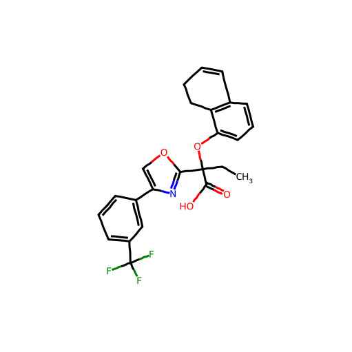 CCC(Oc1cccc2c1CCC=C2)(C(=O)O)c1nc(-c2cccc(C(F)(F)F)c2)co1